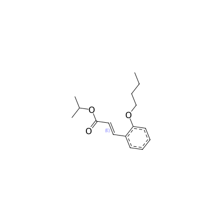 CCCCOc1ccccc1/C=C/C(=O)OC(C)C